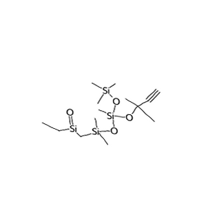 C#CC(C)(C)O[Si](C)(O[Si](C)(C)C)O[Si](C)(C)C[Si](=O)CC